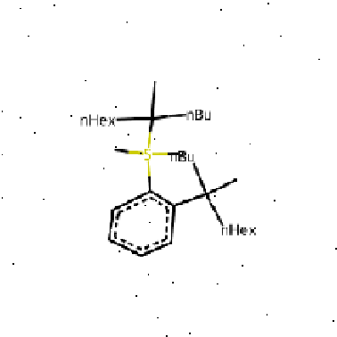 CCCCCCC(C)(CCCC)c1ccccc1S(C)(C)C(C)(CCCC)CCCCCC